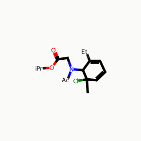 CCC1=CC=CC(C)(Cl)C1N(CC(=O)OC(C)C)C(C)=O